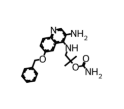 CC(C)(CNc1c(N)cnc2ccc(OCc3ccccc3)cc12)OC(N)=O